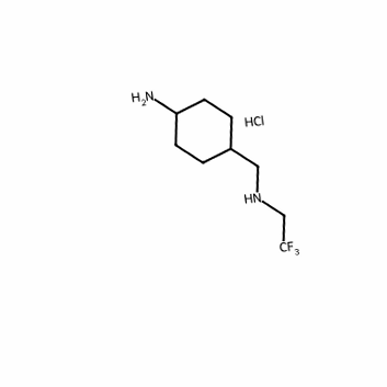 Cl.NC1CCC(CNCC(F)(F)F)CC1